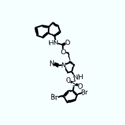 N#CN1CC(NS(=O)(=O)c2cc(Br)ccc2Br)C[C@@H]1COC(=O)Nc1cccc2ccccc12